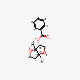 O=C(O[C@@H]1CO[C@@H]2CCO[C@@H]21)c1ccccc1